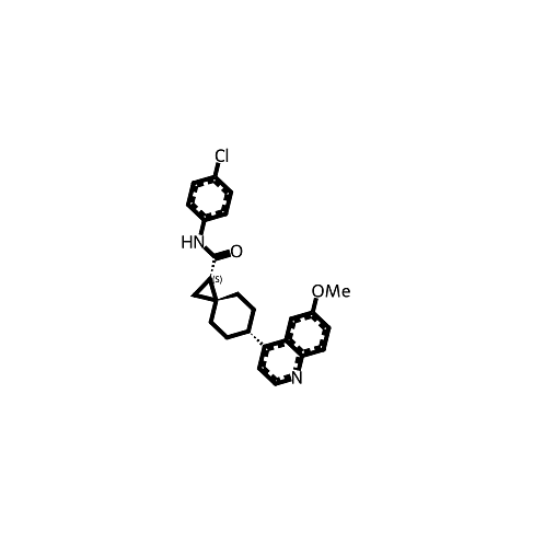 COc1ccc2nccc([C@H]3CC[C@@]4(CC3)C[C@@H]4C(=O)Nc3ccc(Cl)cc3)c2c1